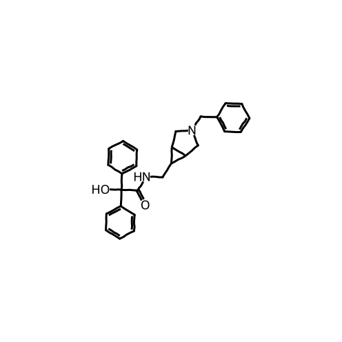 O=C(NCC1C2CN(Cc3ccccc3)CC12)C(O)(c1ccccc1)c1ccccc1